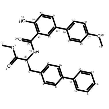 COC(=O)[C@H](Cc1ccc(-c2ccccc2)cc1)NC(=O)c1cc(-c2ccc(OC)cc2)ccc1O